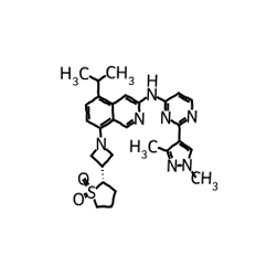 Cc1nn(C)cc1-c1nccc(Nc2cc3c(C(C)C)ccc(N4CC([C@@H]5CCCS5(=O)=O)C4)c3cn2)n1